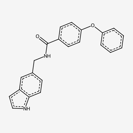 O=C(NCc1ccc2[nH]ccc2c1)c1ccc(Oc2ccccc2)cc1